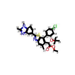 CCOC(=O)[C@@H](OC(C)(C)C)c1c(C)cc2nc(-c3ccc4c(c3)nc(C)n4C)sc2c1-c1ccc(Cl)cc1